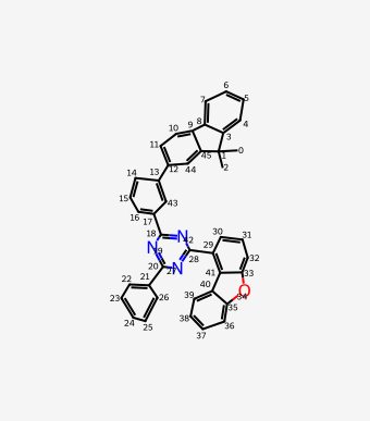 CC1(C)c2ccccc2-c2ccc(-c3cccc(-c4nc(-c5ccccc5)nc(-c5cccc6oc7ccccc7c56)n4)c3)cc21